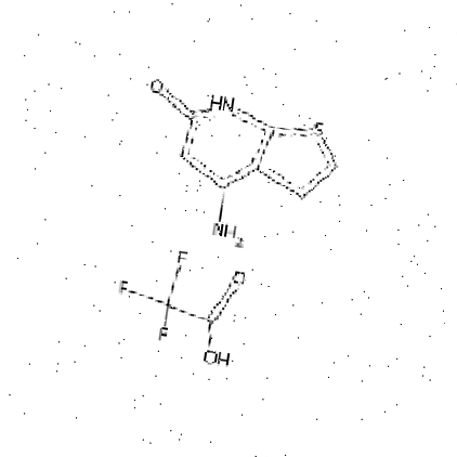 Nc1cc(=O)[nH]c2sccc12.O=C(O)C(F)(F)F